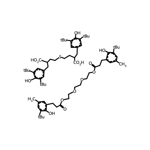 CC(C)(C)c1cc(CC(CCSCCC(Cc2cc(C(C)(C)C)c(O)c(C(C)(C)C)c2)C(=O)O)C(=O)O)cc(C(C)(C)C)c1O.Cc1cc(CCC(=O)OCCOCCOCCOC(=O)CCc2cc(C)cc(C(C)(C)C)c2O)c(O)c(C(C)(C)C)c1